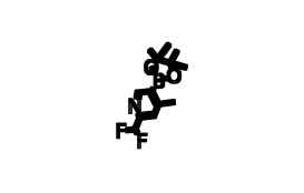 Cc1cc(C(F)F)ncc1B1OC(C)(C)C(C)(C)O1